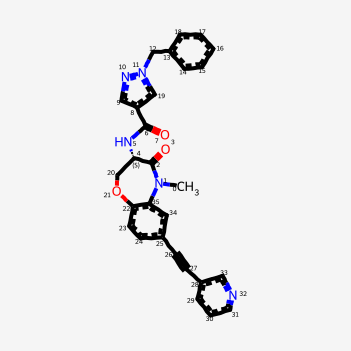 CN1C(=O)[C@@H](NC(=O)c2cnn(Cc3ccccc3)c2)COc2ccc(C#Cc3cccnc3)cc21